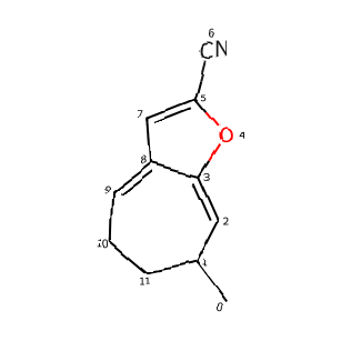 CC1C=c2oc(C#N)cc2=CCC1